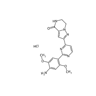 COc1cc(-c2nccc(-c3cc4n(n3)CCNC4=O)n2)c(OC)cc1N.Cl